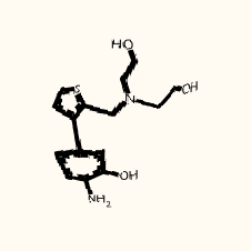 Nc1ccc(-c2ccsc2CN(CCO)CCO)cc1O